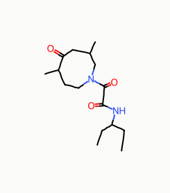 CCC(CC)NC(=O)C(=O)N1CCC(C)C(=O)CC(C)C1